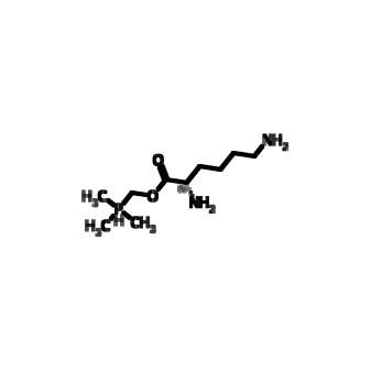 C[PH](C)(C)COC(=O)[C@@H](N)CCCCN